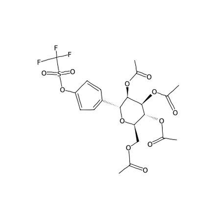 CC(=O)OC[C@H]1O[C@H](c2ccc(OS(=O)(=O)C(F)(F)F)cc2)[C@@H](OC(C)=O)[C@@H](OC(C)=O)[C@@H]1OC(C)=O